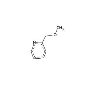 COCc1c[c]ccn1